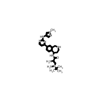 Cn1cc(Nc2nccc(-c3ccc4c(c3)CNCCC4NC(=O)/C(N)=C/N(N)C(C)(C)C)n2)cn1